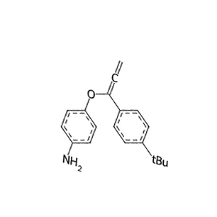 C=C=C(Oc1ccc(N)cc1)c1ccc(C(C)(C)C)cc1